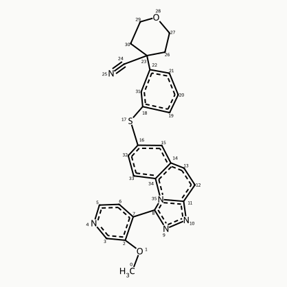 COc1cnccc1-c1nnc2ccc3cc(Sc4cccc(C5(C#N)CCOCC5)c4)ccc3n12